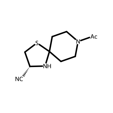 CC(=O)N1CCC2(CC1)N[C@H](C#N)CS2